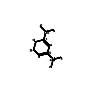 CN(C)C1=CC(N(C)C)=CC[CH]1